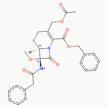 CO[C@@]1(NC(=O)Cc2ccccc2)C(=O)N2C(C(=O)OCc3ccccc3)=C(COC(C)=O)CS[C@@H]21